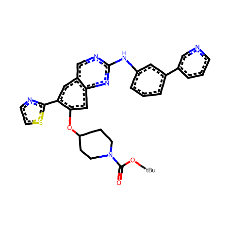 CC(C)(C)OC(=O)N1CCC(Oc2cc3nc(Nc4cccc(-c5cccnc5)c4)ncc3cc2-c2nccs2)CC1